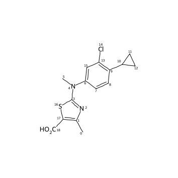 Cc1nc(N(C)c2ccc(C3CC3)c(Cl)c2)sc1C(=O)O